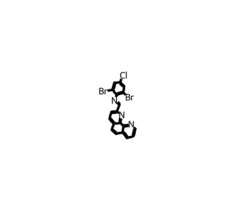 Clc1cc(Br)c(/N=C/c2ccc3ccc4cccnc4c3n2)c(Br)c1